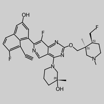 C#Cc1c(F)ccc2cc(O)cc(-c3ncc4c(N5CCC[C@@](C)(O)C5)nc(OC[C@]5(C)CN(C)CC[C@@H]5CF)nc4c3F)c12